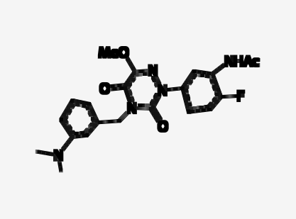 COc1nn(-c2ccc(F)c(NC(C)=O)c2)c(=O)n(Cc2cccc(N(C)C)c2)c1=O